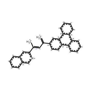 C=C(/C=C(\C)c1cc2ccccc2cn1)c1ccc2c3ccccc3c3ccccc3c2c1